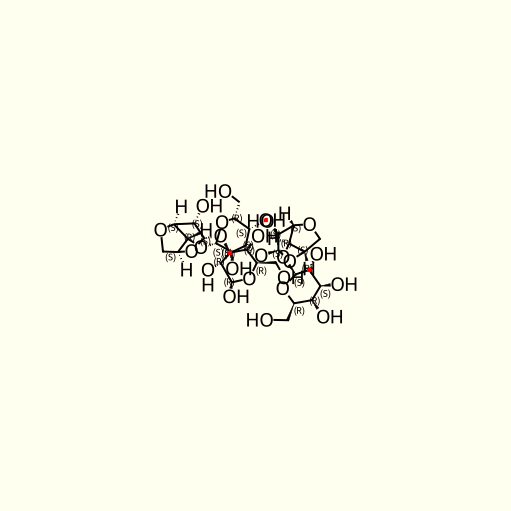 OC[C@H]1O[C@@H](O[C@H]2[C@H]3OC[C@@H]2O[C@@H](O[C@H]2[C@@H](O)[C@@H](CO)O[C@@H](O[C@H]4[C@H]5OC[C@@H]4O[C@@H](O[C@@H]4[C@@H](O)[C@H](O)O[C@H](CO)[C@@H]4O)[C@H]5O)[C@@H]2O)[C@H]3O)[C@H](O)[C@@H](O)[C@H]1O